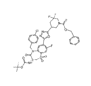 CC(C)(C)OC(=O)N[C@H]1CS(=O)(=O)c2cc(F)c(-c3nnc(C4CN(C(=O)OCc5ccccc5)CC(F)(F)C4)o3)cc2N(Cc2ccc(Cl)cc2)C1=O